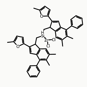 Cc1ccc(C2=Cc3c(cc(C)c(C)c3-c3ccccc3)C2C[SiH](CC2C(c3ccc(C)o3)=Cc3c2cc(C)c(C)c3-c2ccccc2)[Zr]([Cl])[Cl])o1